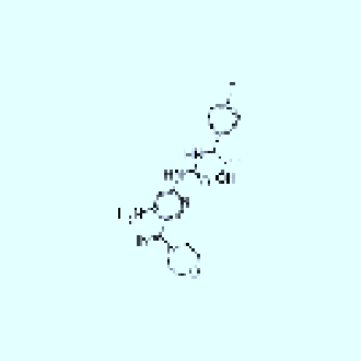 C[C@H](O)[C@@H](NC(=O)Nc1cc(N)c(C(=N)N2CCOCC2)cn1)c1ccc(F)cc1